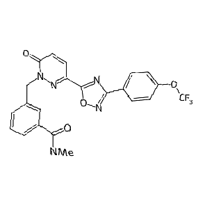 CNC(=O)c1cccc(Cn2nc(-c3nc(-c4ccc(OC(F)(F)F)cc4)no3)ccc2=O)c1